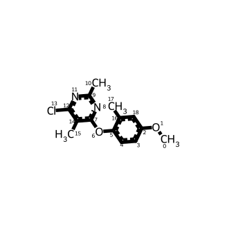 COc1ccc(Oc2nc(C)nc(Cl)c2C)c(C)c1